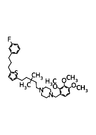 COc1ccc(CN2CCN(CCC(C)(C)CCc3ccc(CCCc4cccc(F)c4)s3)CC2)c(OC)c1OC